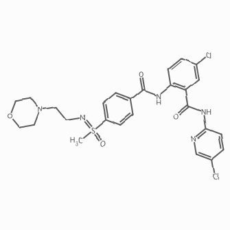 CS(=O)(=NCCN1CCOCC1)c1ccc(C(=O)Nc2ccc(Cl)cc2C(=O)Nc2ccc(Cl)cn2)cc1